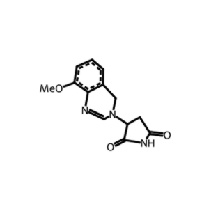 COc1cccc2c1N=CN(C1CC(=O)NC1=O)C2